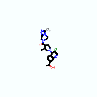 CC(O)c1ccc2c(N3CCC(C(=O)N4CCn5c(nnc5C(F)(F)F)C4)C(C)C3)c(Cl)cnc2c1